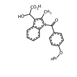 CCCOc1ccc(C(=O)n2c(C)c(C(O)C(=O)O)c3ccccc32)cc1